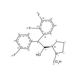 O=C(O)N1CCC[C@@H]1C(O)C(c1cccc(F)c1)c1cccc(F)c1F